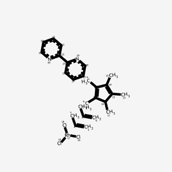 C=CC.C=CC.CC1=C(C)C(C)C(C)=C1C.[Cl][Rh]([Cl])[Cl].c1ccc(-c2ccccn2)nc1